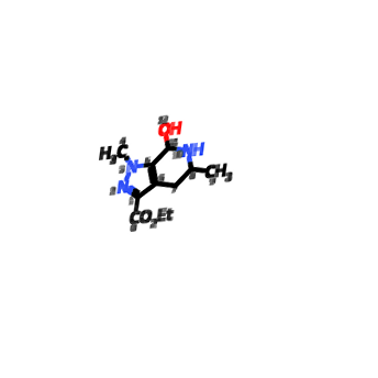 CCOC(=O)c1nn(C)c2c1CC(C)NC2O